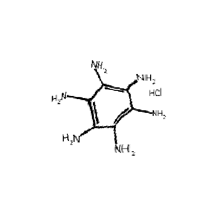 Cl.Nc1c(N)c(N)c(N)c(N)c1N